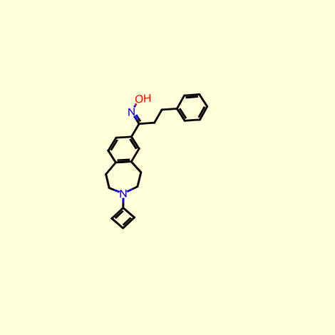 ON=C(CCc1ccccc1)c1ccc2c(c1)CCN(C1=CC=C1)CC2